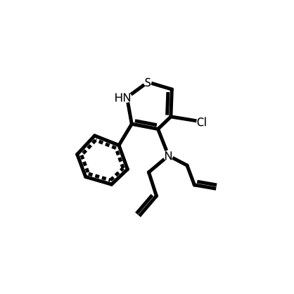 C=CCN(CC=C)C1=C(c2ccccc2)NSC=C1Cl